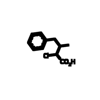 CC(Cc1ccccc1)C(Cl)C(=O)O